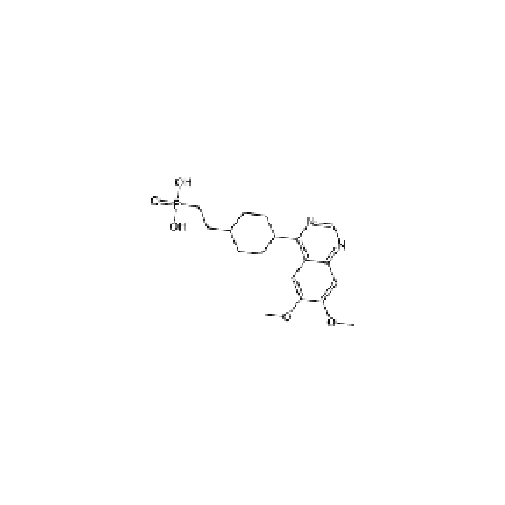 COc1cc2ncnc(C3CCC(CCP(=O)(O)O)CC3)c2cc1OC